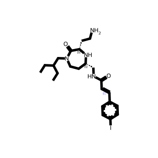 CCC(CC)CN1CC[C@@H](CNC(=O)/C=C/c2ccc(I)cc2)N[C@@H](CCN)C1=O